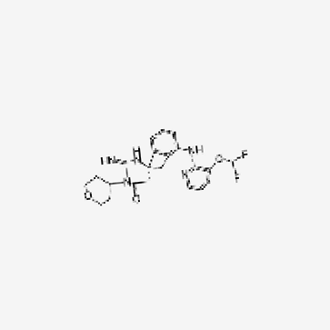 N=C1N[C@]2(CC(=O)N1C1CCOCC1)Cc1c(Nc3ncccc3OC(F)F)cccc12